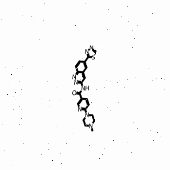 CN1CCN(c2ccc(C(=O)Nc3cc4cc(-c5nncs5)ccc4nn3)cn2)CC1